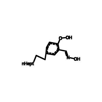 CCCCCCCCCc1ccc(OO)c(C=NO)c1